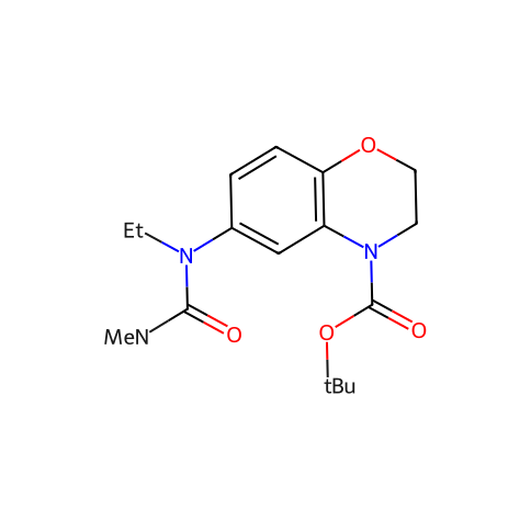 CCN(C(=O)NC)c1ccc2c(c1)N(C(=O)OC(C)(C)C)CCO2